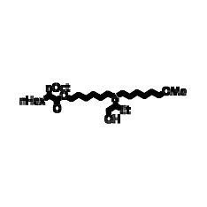 CCCCCCCCC(CCCCCC)C(=O)OCCCCCCN(CCCCCCOC)C(CC)CO